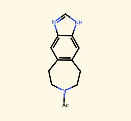 CC(=O)N1CCc2cc3nc[nH]c3cc2CC1